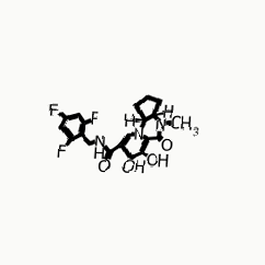 CN1C(=O)C2=C(O)C(O)C(C(=O)NCc3c(F)cc(F)cc3F)=CN2[C@@H]2CCC[C@@H]21